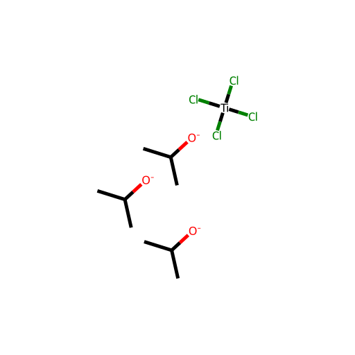 CC(C)[O-].CC(C)[O-].CC(C)[O-].[Cl][Ti]([Cl])([Cl])[Cl]